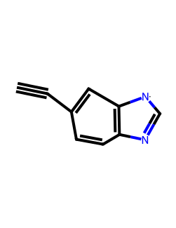 C#Cc1ccc2c(c1)[N]C=N2